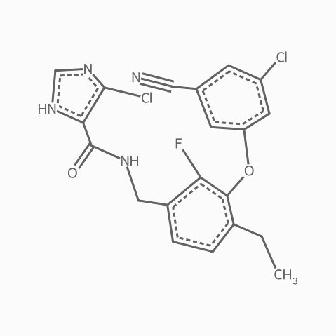 CCc1ccc(CNC(=O)c2[nH]cnc2Cl)c(F)c1Oc1cc(Cl)cc(C#N)c1